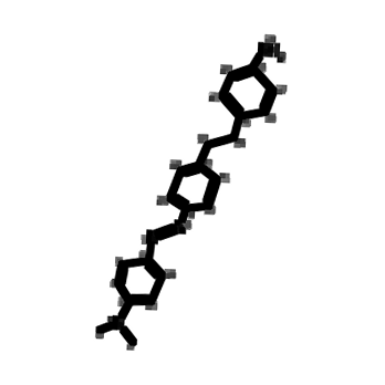 CN(C)c1ccc(N=Nc2ccc(CCc3ccc(N)cc3)cc2)cc1